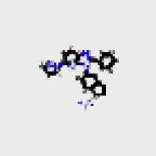 N[C@H]1CCc2cc(-n3c(-c4ccccc4)nc4ccc(-n5ccc(F)n5)nc43)ccc21